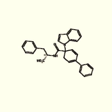 O=C(O)[C@H](Cc1ccccc1)NC(=O)C1(n2ccc3ccccc32)C=CC(c2ccccc2)=CC1